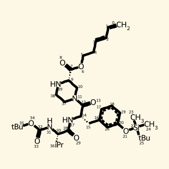 C=CC=CCCOC(=O)[C@@H]1CN(C(=O)[C@H](Cc2cccc(O[Si](C)(C)C(C)(C)C)c2)NC(=O)[C@@H](NC(=O)OC(C)(C)C)C(C)C)CCN1